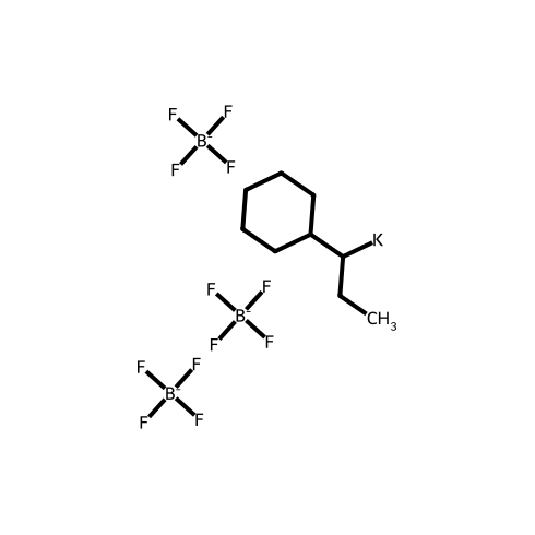 CC[CH]([K])C1CCCCC1.F[B-](F)(F)F.F[B-](F)(F)F.F[B-](F)(F)F